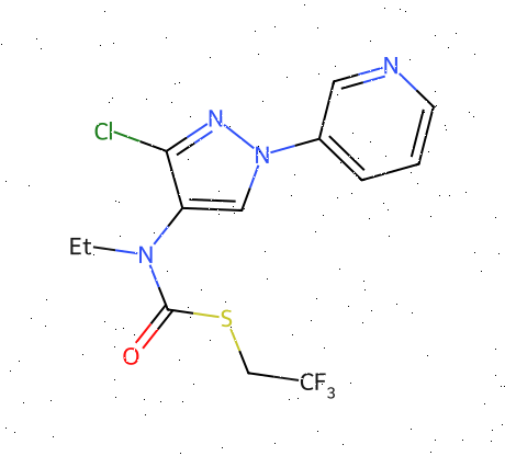 CCN(C(=O)SCC(F)(F)F)c1cn(-c2cccnc2)nc1Cl